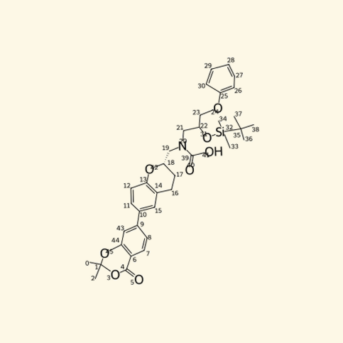 CC1(C)OC(=O)c2ccc(-c3ccc4c(c3)CC[C@@H](CN(CC(COc3ccccc3)O[Si](C)(C)C(C)(C)C)C(=O)O)O4)cc2O1